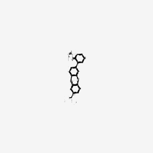 COC(=O)c1ccc2c(c1)C1OC2c2cc(-c3cccc4ocnc34)ccc21